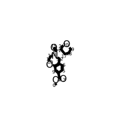 COC(=O)c1ccc2c(c1)OCCN(C(=O)[C@H]1CCCOC1)C2